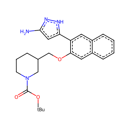 CC(C)(C)OC(=O)N1CCCC(COc2cc3ccccc3cc2-c2cc(N)n[nH]2)C1